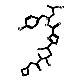 CC(=O)OC(CC(C(C)C)N(C)C(=O)CC1COC1)c1nc(C(=O)N[C@@H](Cc2ccc(C(F)(F)F)cc2)CC(C)C(=O)O)cs1